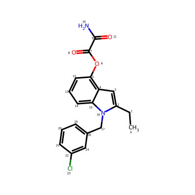 CCc1cc2c(OC(=O)C(N)=O)cccc2n1Cc1cccc(Cl)c1